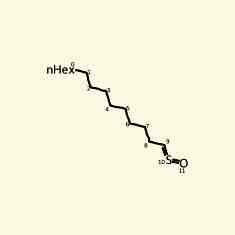 CCCCCCCCCCCCCCC=S=O